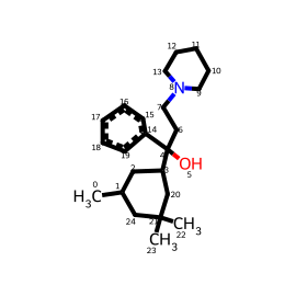 CC1CC(C(O)(CCN2CCCCC2)c2ccccc2)CC(C)(C)C1